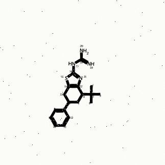 CC(C)(C)C1CC(c2ccccc2)Cc2sc(NC(=N)N)nc21